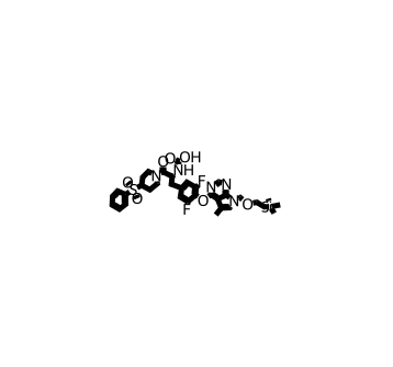 Cc1cn(COCC[Si](C)(C)C)c2ncnc(Oc3c(F)cc(CC(NC(=O)O)C(=O)N4CCC(S(=O)(=O)c5ccccc5)CC4)cc3F)c12